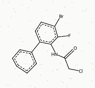 O=C(CCl)Nc1c(-c2ccccc2)ccc(Br)c1F